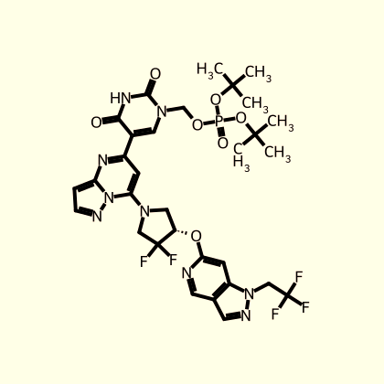 CC(C)(C)OP(=O)(OCn1cc(-c2cc(N3C[C@H](Oc4cc5c(cn4)cnn5CC(F)(F)F)C(F)(F)C3)n3nccc3n2)c(=O)[nH]c1=O)OC(C)(C)C